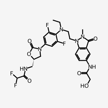 CCN(CCn1c2ccc(NC(=O)CO)cc2c(=O)n1C)c1c(F)cc(N2C[C@H](CNC(=O)C(F)F)OC2=O)cc1F